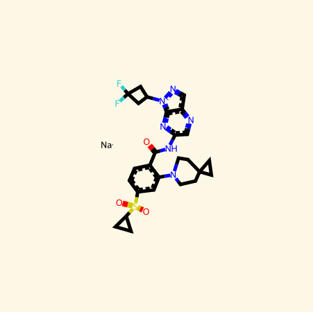 O=C(Nc1cnc2cnn(C3CC(F)(F)C3)c2n1)c1ccc(S(=O)(=O)C2CC2)cc1N1CCC2(CC1)CC2.[Na]